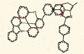 C\C1=C(c2ccccc2)/N=C(c2ccc(-c3ccccc3)cc2)\N=C(\c2cccc(-c3cccc4c3Oc3ccccc3C43c4ccccc4-n4c5ccccc5c5cccc3c54)c2)CC1